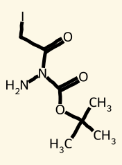 CC(C)(C)OC(=O)N(N)C(=O)CI